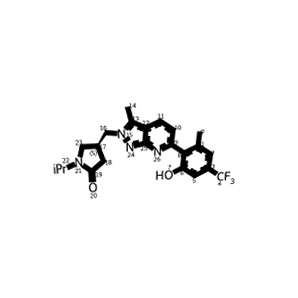 Cc1cc(C(F)(F)F)cc(O)c1-c1ccc2c(C)n(C[C@H]3CC(=O)N(C(C)C)C3)nc2n1